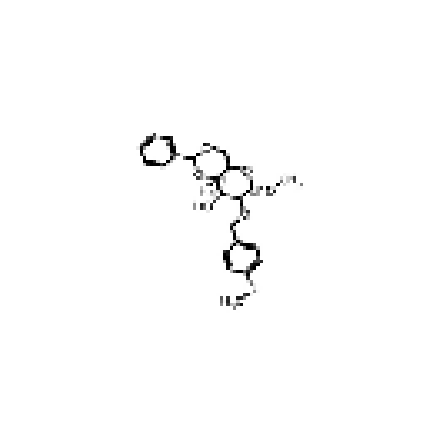 COc1ccc(COC2[C@@H](OC)OC3COC(c4ccccc4)O[C@H]3[C@@H]2O)cc1